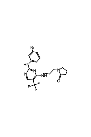 O=C1CCCN1CCCNc1nc(Nc2cccc(Br)c2)ncc1C(F)(F)F